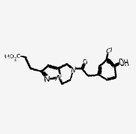 O=C(O)CCc1cc2n(n1)CCN(C(=O)Cc1ccc(O)c(Cl)c1)C2